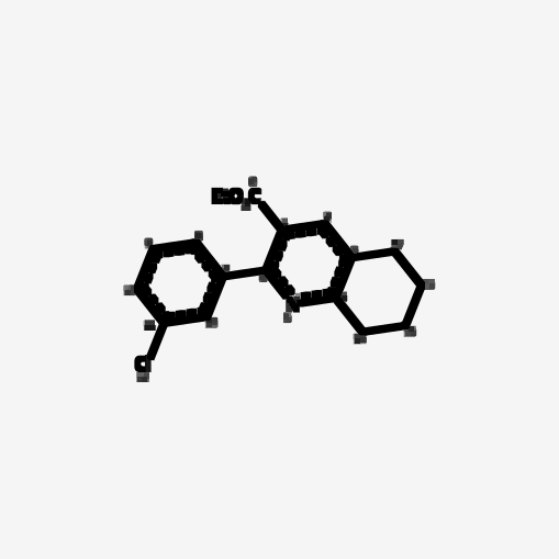 CCOC(=O)c1cc2c(nc1-c1cccc(Cl)c1)CCCC2